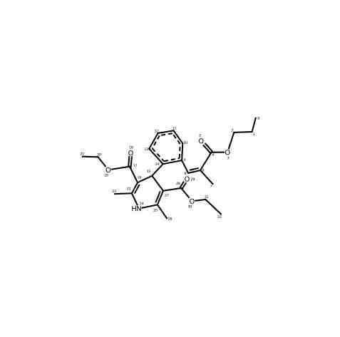 CCCOC(=O)C(C)=Cc1ccccc1C1C(C(=O)OCC)=C(C)NC(C)=C1C(=O)OCC